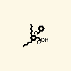 CCCCCc1cc(CCCCC)c(OCc2ccccc2)c(CC(=O)O)c1